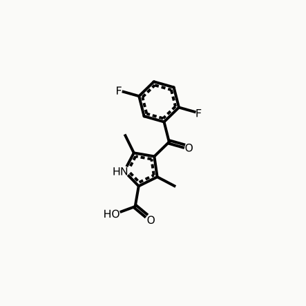 Cc1[nH]c(C(=O)O)c(C)c1C(=O)c1cc(F)ccc1F